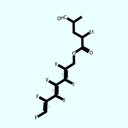 CCC(CC(C)C=O)C(=O)OC/C(F)=C(F)/C(F)=C(F)/C(F)=C/F